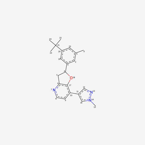 Cc1cc(C2Cc3nccc(-c4cnn(C)c4)c3O2)cc(C(C)(C)C)c1